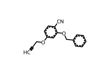 C#CCOc1ccc(C#N)c(OCc2ccccc2)c1